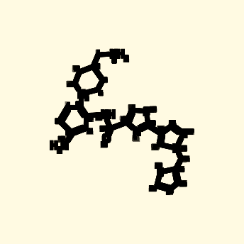 NCC1CCN(c2ccc(N)cc2NC(=O)c2csc(-c3cnn(Cc4cccs4)c3)n2)CC1